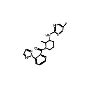 CC1C(Nc2ncc(F)cn2)CCCN1C(=O)c1ccccc1-n1nccn1